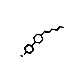 CC=CCC=CC1CCC(c2ccc(C#N)cc2)CC1